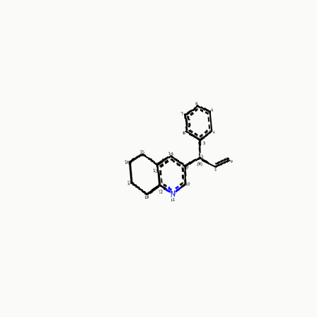 C=C[C@H](c1ccccc1)c1cnc2c(c1)CCCC2